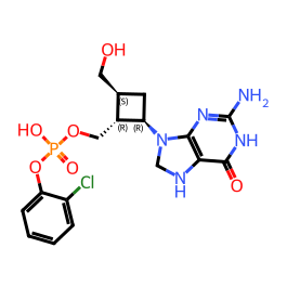 Nc1nc2c(c(=O)[nH]1)NCN2[C@@H]1C[C@H](CO)[C@H]1COP(=O)(O)Oc1ccccc1Cl